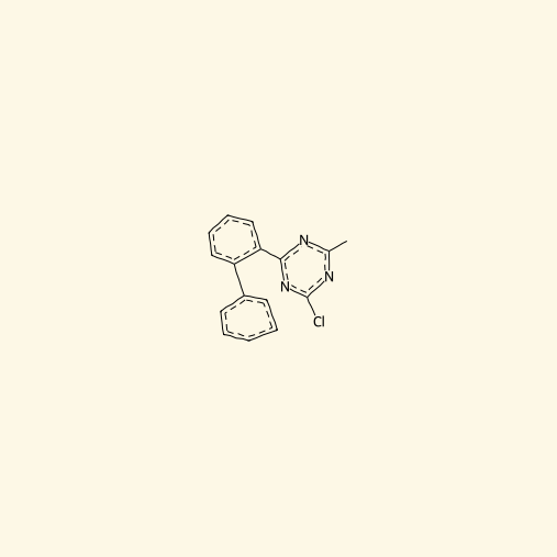 Cc1nc(Cl)nc(-c2ccccc2-c2ccccc2)n1